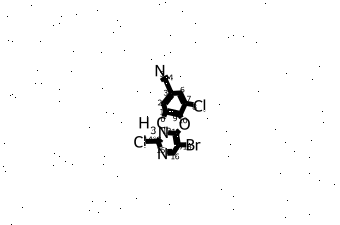 Cc1cc(C#N)cc(Cl)c1Oc1nc(Cl)ncc1Br